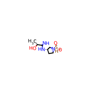 C[C@@H](O)C(=N)N[C@H]1CCN([SH](=O)=O)C1